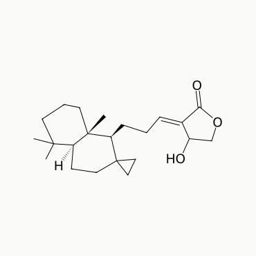 CC1(C)CCC[C@@]2(C)[C@H]1CCC1(CC1)[C@@H]2CC/C=C1/C(=O)OCC1O